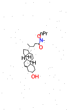 CCCON(C)C(=O)CCC(C)[C@H]1CC[C@H]2[C@@H]3CC=C4C[C@@H](O)CC[C@]4(C)[C@H]3CC[C@]12C